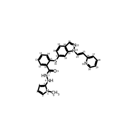 Cn1cccc1NNC(=O)c1ccccc1Sc1ccc2cnn(C=Cc3ccccn3)c2c1